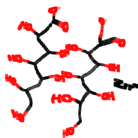 O=C([O-])C(O)C(O)C(O)C(O)C(O)CO.O=C([O-])C(O)C(O)C(O)C(O)C(O)CO.[Zn+2]